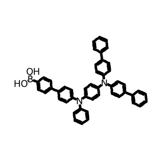 OB(O)c1ccc(-c2ccc(N(c3ccccc3)c3ccc(N(c4ccc(-c5ccccc5)cc4)c4ccc(-c5ccccc5)cc4)cc3)cc2)cc1